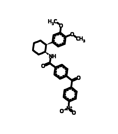 COc1ccc([C@H]2CCCC[C@H]2NC(=O)c2ccc(C(=O)c3ccc([N+](=O)[O-])cc3)cc2)cc1OC